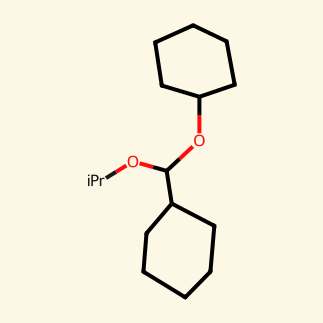 CC(C)OC(OC1CCCCC1)C1CCCCC1